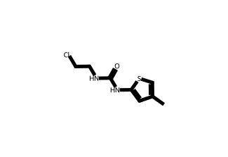 Cc1csc(NC(=O)NCCCl)c1